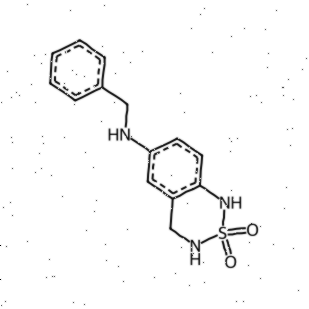 O=S1(=O)NCc2cc(NCc3ccccc3)ccc2N1